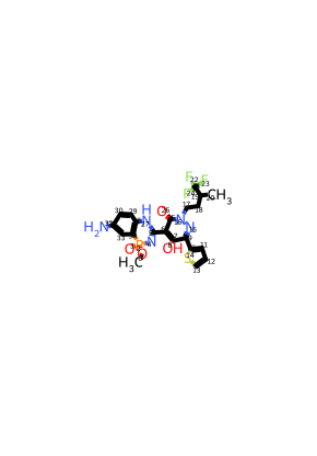 COP1(=O)N=C(c2c(O)c(-c3cccs3)nn(CCC(C)C(F)(F)F)c2=O)Nc2ccc(N)cc21